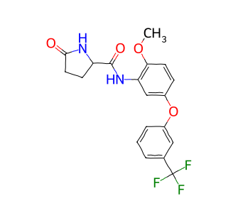 COc1ccc(Oc2cccc(C(F)(F)F)c2)cc1NC(=O)C1CCC(=O)N1